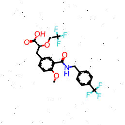 COc1ccc(CC(OCC(F)(F)F)C(=O)O)cc1C(=O)NCc1ccc(C(F)(F)F)cc1